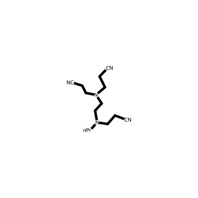 CCCN(CCC#N)CCN(CCC#N)CCC#N